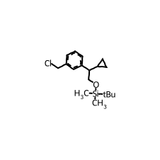 CC(C)(C)[Si](C)(C)OCC(c1cccc(CCl)c1)C1CC1